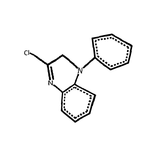 ClC1=Nc2ccccc2N(c2ccccc2)C1